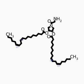 CCCCC/C=C\C/C=C\CCCCCCCC(=O)O[C@@H]1CN(C(=O)CN)C[C@H]1OC(=O)CCCCCCC/C=C\C/C=C\CCCCC